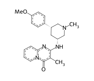 COc1ccc([C@H]2C[C@@H](Nc3nc4ccccn4c(=O)c3C)CN(C)C2)cc1